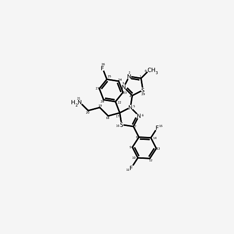 Cc1nnc(N2N=C(c3cc(F)ccc3F)SC2(CCCN)c2ccc(F)cc2)s1